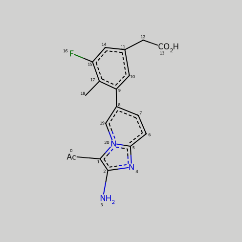 CC(=O)c1c(N)nc2ccc(-c3cc(CC(=O)O)cc(F)c3C)cn12